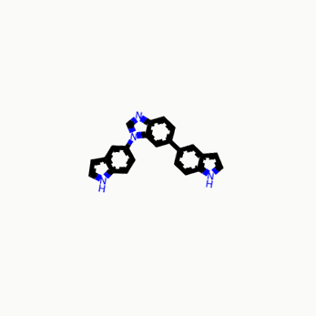 c1cc2cc(-c3ccc4ncn(-c5ccc6[nH]ccc6c5)c4c3)ccc2[nH]1